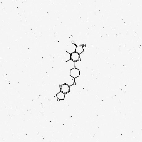 Cc1c(N2CCC(Oc3cnc4c(c3)COC4)CC2)nc2c(c1C)C(=O)NC2